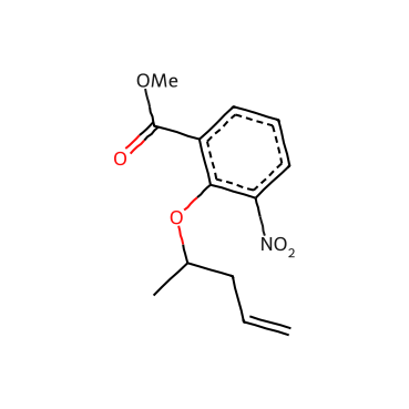 C=CCC(C)Oc1c(C(=O)OC)cccc1[N+](=O)[O-]